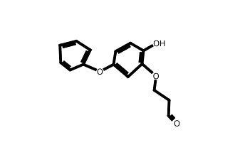 O=CCCOc1cc(Oc2ccccc2)ccc1O